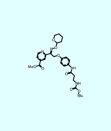 COC(=O)c1ccnc(/C(COc2ccc(NC(=O)CCNC(=O)OC(C)(C)C)cc2)=N/OC2CCCCO2)c1